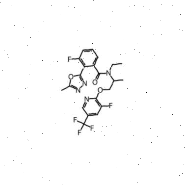 CCN(C(=O)c1cccc(F)c1-c1nnc(C)o1)C(C)COc1ncc(C(F)(F)F)cc1F